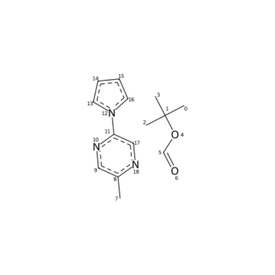 CC(C)(C)OC=O.Cc1cnc(-n2cccc2)cn1